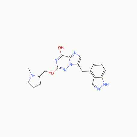 CN1CCCC1COc1nc(O)c2ncc(Cc3cccc4[nH]ncc34)n2n1